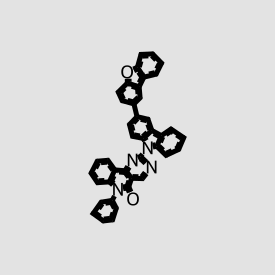 O=c1c2cnc(-n3c4ccccc4c4cc(-c5ccc6oc7ccccc7c6c5)ccc43)nc2c2ccccc2n1-c1ccccc1